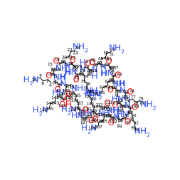 C[C@H](NC(=O)[C@H](CCCCN)NC(=O)[C@H](C)NC(=O)[C@H](CCCCN)NC(=O)[C@H](C)NC(=O)[C@H](CCCCN)NC(=O)[C@H](C)NC(=O)[C@H](CCCCN)NC(=O)[C@H](C)NC(=O)[C@H](CCCCN)NC(=O)[C@H](C)NC(=O)[C@H](CCCCN)NC(=O)[C@H](C)NC(=O)[C@H](CCCCN)NC(=O)[C@H](C)NC(=O)[C@H](CCCCN)NC(=O)[C@H](C)NC(=O)[C@H](CCCCN)NC(=O)[C@H](C)NC(=O)[C@@H](N)CCCCN)C(=O)N[C@@H](CCCCN)C(=O)O